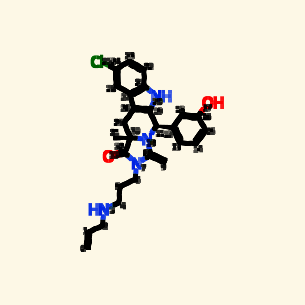 C=CCNCCCN1C(=C)N2[C@H](c3cccc(O)c3)c3[nH]c4ccc(Cl)cc4c3C[C@@]2(C)C1=O